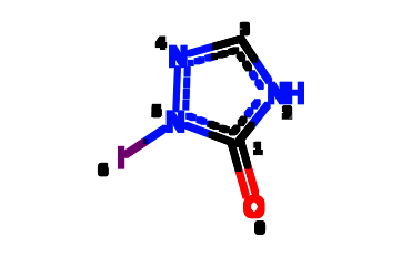 O=c1[nH]cnn1I